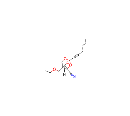 CCCCC#CC12OCC(COCC)(CO1)[C@@H](C#N)O2